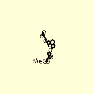 COC(=O)C[C@@H]1COc2cc(OCc3ccc4c(c3)-c3c(C)cc(OCCCS(C)(=O)=O)cc3CCC4)ccc21